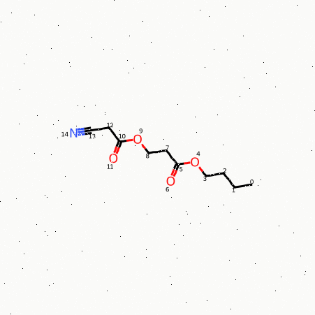 CCCCOC(=O)CCOC(=O)CC#N